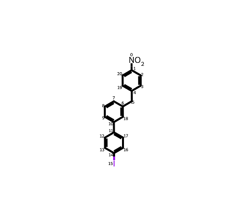 O=[N+]([O-])c1ccc([CH]c2cccc(-c3ccc(I)cc3)c2)cc1